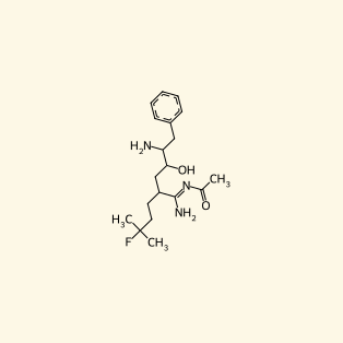 CC(=O)N=C(N)C(CCC(C)(C)F)CC(O)C(N)Cc1ccccc1